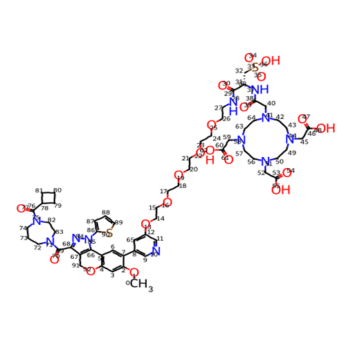 COc1cc2c(cc1-c1cncc(OCCOCCOCCOCCOCCNC(=O)[C@H](CS(=O)(=O)O)NC(=O)CN3CCN(CC(=O)O)CCN(CC(=O)O)CCN(CC(=O)O)CC3)c1)-c1c(c(C(=O)N3CCCN(C(=O)C4CCC4)CC3)nn1-c1cccs1)CO2